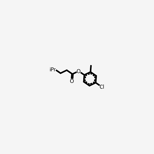 Cc1cc(Cl)ccc1OC(=O)CCC(C)C